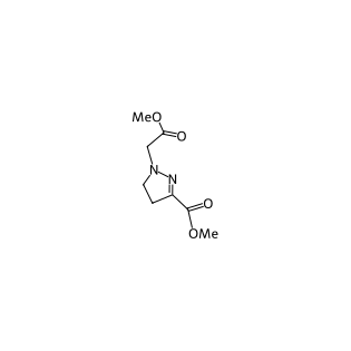 COC(=O)CN1CCC(C(=O)OC)=N1